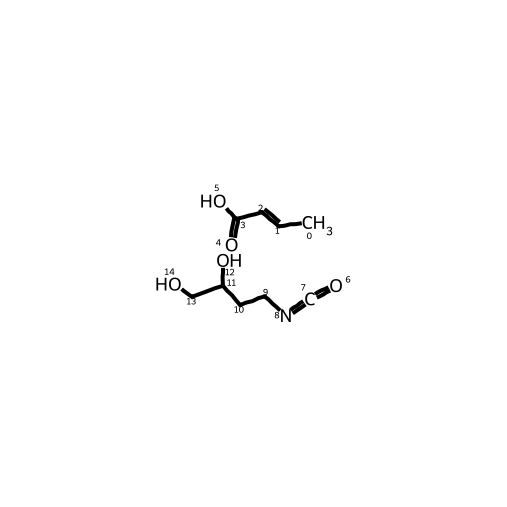 CC=CC(=O)O.O=C=NCCC(O)CO